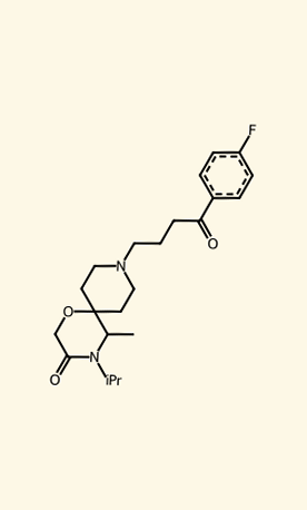 CC(C)N1C(=O)COC2(CCN(CCCC(=O)c3ccc(F)cc3)CC2)C1C